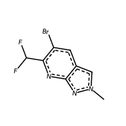 Cn1cc2cc(Br)c(C(F)F)nc2n1